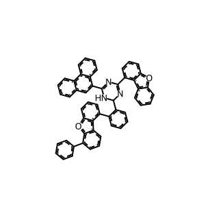 c1ccc(-c2cccc3c2oc2cccc(-c4ccccc4C4N=C(c5cccc6oc7ccccc7c56)N=C(c5cc6ccccc6c6ccccc56)N4)c23)cc1